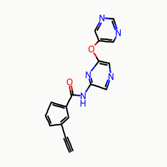 C#Cc1cccc(C(=O)Nc2cncc(Oc3cncnc3)n2)c1